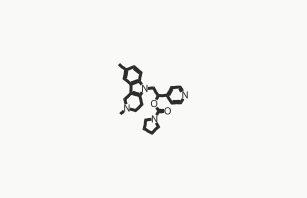 Cc1ccc2c(c1)c1c(n2CC(OC(=O)N2CCCC2)c2ccncc2)CCN(C)C1